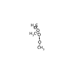 C=CC(=O)c1ccc2c(c1)C(C)c1cc(C#Cc3ccc(CCC)cc3)ccc1-2